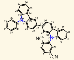 N#Cc1ccc(C#N)c(-n2c3ccccc3c3ccc(-c4ccc5c(c4)c4ccccc4n5-c4ccccc4)cc32)c1